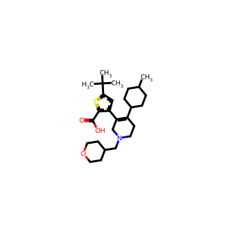 CC1CCC(C2=C(c3cc(C(C)(C)C)sc3C(=O)O)CN(CC3CCOCC3)CC2)CC1